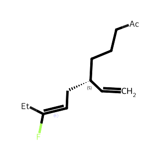 C=C[C@H](C/C=C(/F)CC)CCCC(C)=O